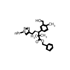 CCCn1cc(CC[C@@H](c2ccc(C)c(CO)c2)C(C)(C)C(=O)OCc2ccccc2)nn1